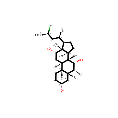 CC[C@H]1[C@@H](O)[C@@H]2[C@H](C[C@H](O)[C@]3(C)[C@@H]([C@H](C)C[C@H](F)C(=O)O)CC[C@@H]23)[C@@]2(C)CC[C@@H](O)C[C@@H]12